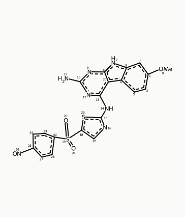 COc1ccc2c(c1)[nH]c1nc(N)nc(Nc3ncc(S(=O)(=O)c4ccc(N=O)cc4)s3)c12